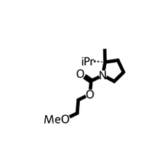 COCCOC(=O)N1CCC[C@@]1(C)C(C)C